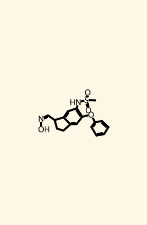 CS(=O)(=O)Nc1cc2c(cc1Oc1ccccc1)CCC2/C=N\O